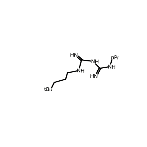 CCCNC(=N)NC(=N)NCCCC(C)(C)C